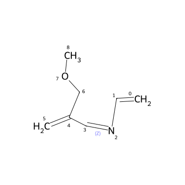 C=C/N=C\C(=C)COC